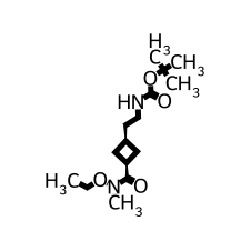 CCON(C)C(=O)[C@H]1C[C@@H](CCNC(=O)OC(C)(C)C)C1